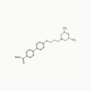 COC(=O)c1ccc(-c2ccc(OCCCN3CC(C)OC(C)C3)cc2)cc1